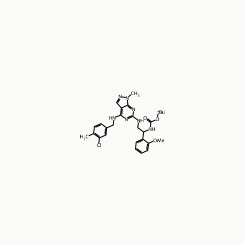 COc1ccccc1C(CNc1nc(NCc2ccc(C)c(Cl)c2)c2cnn(C)c2n1)NC(=O)OC(C)(C)C